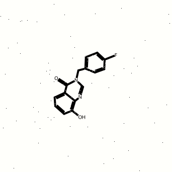 O=c1c2cccc(O)c2ncn1Cc1ccc(F)cc1